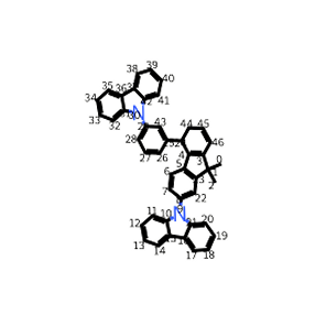 CC1(C)C2=C(c3ccc(-n4c5ccccc5c5ccccc54)cc31)C(c1cccc(-n3c4ccccc4c4ccccc43)c1)CC=C2